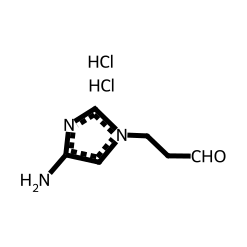 Cl.Cl.Nc1cn(CCC=O)cn1